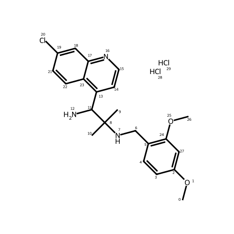 COc1ccc(CNC(C)(C)C(N)c2ccnc3cc(Cl)ccc23)c(OC)c1.Cl.Cl